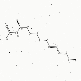 CCC=CC=CCCCCC[C@H](C)OC(C)=O